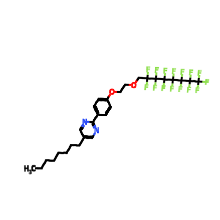 CCCCCCCCc1cnc(-c2ccc(OCCOCC(F)(F)C(F)(F)C(F)(F)C(F)(F)C(F)(F)C(F)(F)C(F)(F)F)cc2)nc1